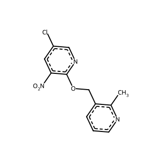 Cc1ncccc1COc1ncc(Cl)cc1[N+](=O)[O-]